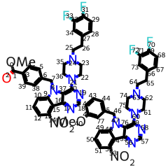 COC(=O)c1ccc(Cn2c3cccc([N+](=O)[O-])c3c3ncnc(N4CCN(CCc5ccc(F)c(F)c5)CC4)c32)cc1.COc1cccc(Cn2c3cccc([N+](=O)[O-])c3c3ncnc(N4CCN(CCc5ccc(F)c(F)c5)CC4)c32)c1